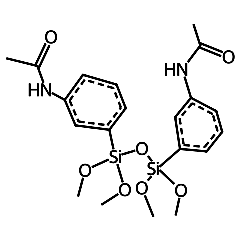 CO[Si](OC)(O[Si](OC)(OC)c1cccc(NC(C)=O)c1)c1cccc(NC(C)=O)c1